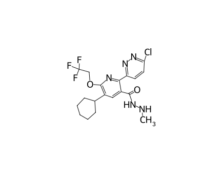 CNNC(=O)c1cc(C2CCCCC2)c(OCC(F)(F)F)nc1-c1ccc(Cl)nn1